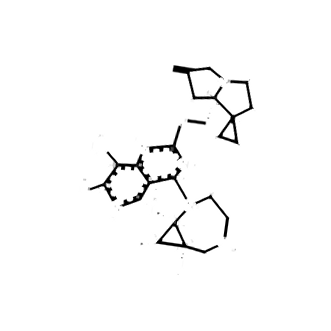 C=C1CN2CCC3(CC3)[C@@]2(COc2nc(N3CCOC[C@H]4[C@H](Cl)[C@H]43)c3cnc(Cl)c(C)c3n2)C1